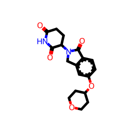 O=C1CCC(N2Cc3cc(OC4CCOCC4)ccc3C2=O)C(=O)N1